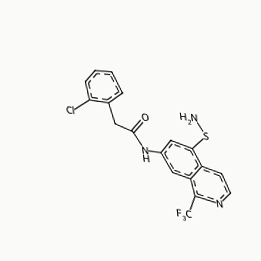 NSc1cc(NC(=O)Cc2ccccc2Cl)cc2c(C(F)(F)F)nccc12